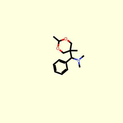 CC1OCC(C)(C(c2ccccc2)N(C)C)CO1